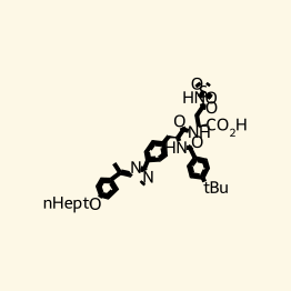 C=N/C(=N\C=C(/C)c1ccc(OCCCCCCC)cc1)c1ccc(C[C@H](NC(=O)c2ccc(C(C)(C)C)cc2)C(=O)N[C@@H](CC(=O)NS(C)(=O)=O)C(=O)O)cc1